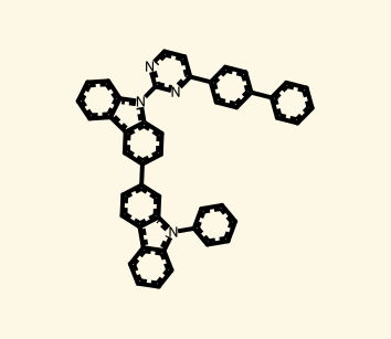 c1ccc(-c2ccc(-c3ccnc(-n4c5ccccc5c5cc(-c6ccc7c8ccccc8n(-c8ccccc8)c7c6)ccc54)n3)cc2)cc1